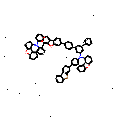 c1ccc(-c2cc(-c3ccc(-c4ccc5c(c4)oc4c(-c6ccccc6N(c6ccccc6)c6cccc7oc8ccccc8c67)cccc45)cc3)cc(N(c3ccc(-c4ccc5c(c4)sc4ccccc45)cc3)c3cccc4oc5ccccc5c34)c2)cc1